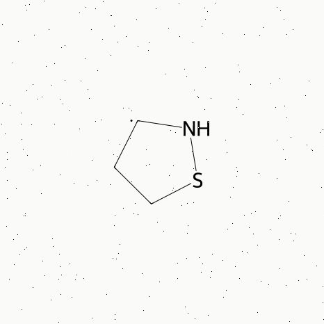 [CH]1CCSN1